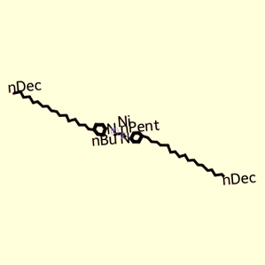 CCCCCCCCCCCCCCCCCCCCCCCCCCCc1ccc(/N=C(CCCC)/C(CCCCC)=N/c2ccc(CCCCCCCCCCCCCCCCCCCCCCCCCCC)cc2)cc1.[Ni]